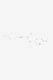 COc1ccc(C#CC(=O)Oc2ccc([N+](=O)[O-])cc2)cc1